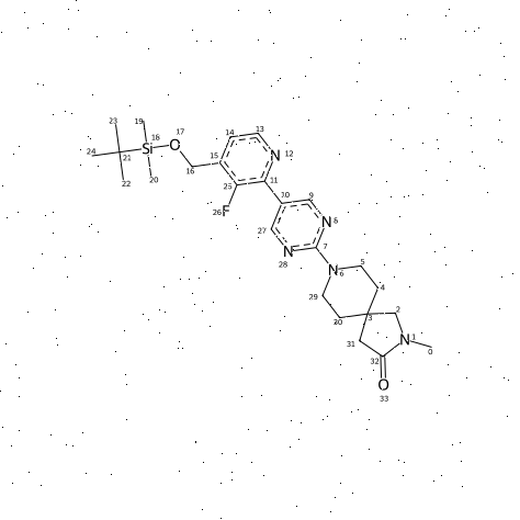 CN1CC2(CCN(c3ncc(-c4nccc(CO[Si](C)(C)C(C)(C)C)c4F)cn3)CC2)CC1=O